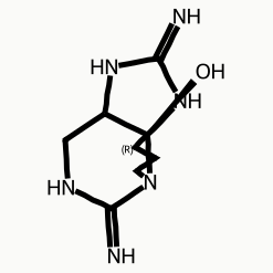 N=C1NC2CNC(=N)N3CC[C@@H](O)C23N1